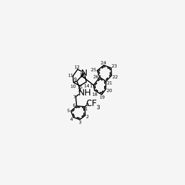 FC(F)(F)c1ccccc1CNC1C2CCN(CC2)C1c1cccc2ccccc12